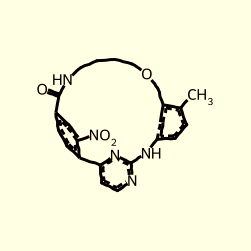 Cc1ccc2cc1COCCCCNC(=O)c1ccc(c([N+](=O)[O-])c1)-c1ccnc(n1)N2